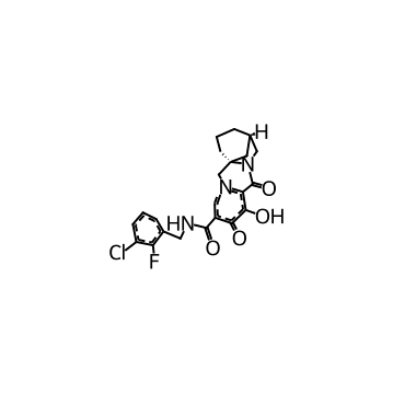 O=C(NCc1cccc(Cl)c1F)c1cn2c(c(O)c1=O)C(=O)N1C[C@H]3CCC[C@@]1(C3)C2